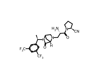 C[C@H](c1cc(C(F)(F)F)cc(C(F)(F)F)c1)N1C(=O)[C@@H]2CC1CN2C[C@H](N)C(=O)N1CCC[C@H]1C#N